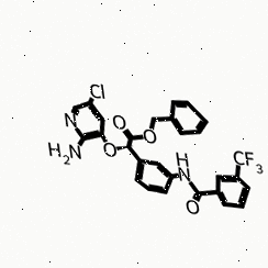 Nc1ncc(Cl)cc1O[C@@H](C(=O)OCc1ccccc1)c1cccc(NC(=O)c2cccc(C(F)(F)F)c2)c1